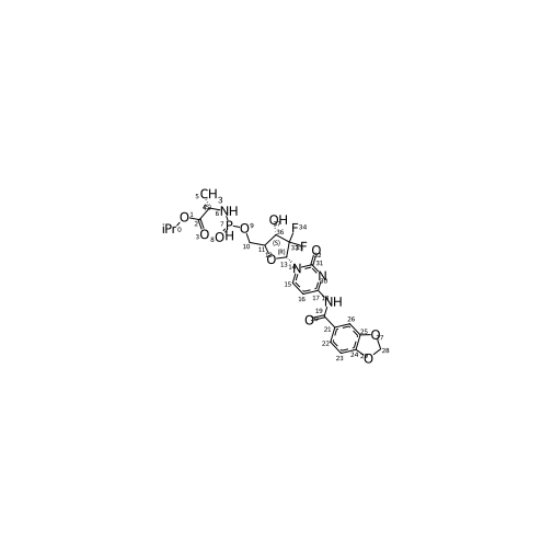 CC(C)OC(=O)[C@H](C)N[PH](=O)OCC1O[C@@H](n2ccc(NC(=O)c3ccc4c(c3)OCO4)nc2=O)C(F)(F)[C@H]1O